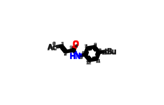 CC(=O)/C=C/C(=O)Nc1ccc(C(C)(C)C)cc1